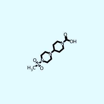 CS(=O)(=O)N1CCN(C2CCN(C(=O)O)CC2)CC1